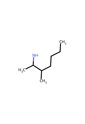 CCCCC(C)C(C)[NH]